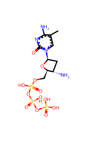 Cc1cn([C@H]2C[C@H](N)[C@@H](COP(=O)(O)OP(=O)(O)OP(=O)(O)O)O2)c(=O)nc1N